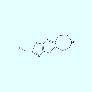 FC(F)(F)Cc1nc2cc3c(cc2o1)CCNCC3